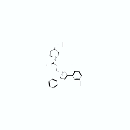 O=C(CCN1CC(c2cc(F)ccc2F)=C[C@H]1c1ccccc1)N1CCC(O)CC1